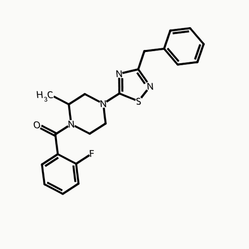 CC1CN(c2nc(Cc3ccccc3)ns2)CCN1C(=O)c1ccccc1F